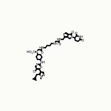 Cn1ncc(-c2nc(NC3CCC(N(CC(=O)NCCCCNCC(=O)NCc4scc5c4CN(C4CCC(=O)NC4=O)C5=O)C(=O)O)CC3)ncc2Cl)c1CC1CC1